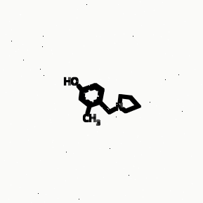 Cc1cc(O)ccc1CN1CCCC1